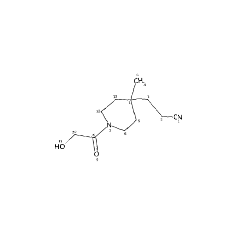 CC1(CCC#N)CCN(C(=O)CO)CC1